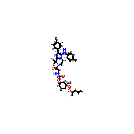 C=CCC(C)OO[C@]1(CC)CCCC(OC(=O)NCC(=O)N2CCn3c(nc(-c4ccc(F)cc4)c3Nc3ccc(F)cc3)C2(C)C)C1